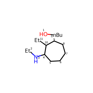 CCCCO.CCNC1CCCCCC1CC